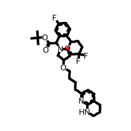 CC(C)(C)OC(=O)C(c1cc(F)ccc1C1CCC(F)(F)CO1)N1CCC(OCCCCc2ccc3c(n2)NCCC3)C1